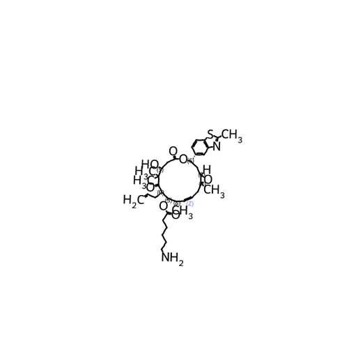 C=CC[C@H]1C(=O)C(C)(C)[C@@H](O)CC(=O)O[C@H](c2ccc3sc(C)nc3c2)C[C@@H]2O[C@]2(C)C/C=C\[C@H](C)[C@@H]1OC(=O)CCCCCN